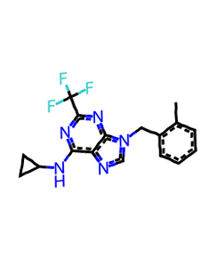 Cc1ccccc1Cn1cnc2c(NC3CC3)nc(C(F)(F)F)nc21